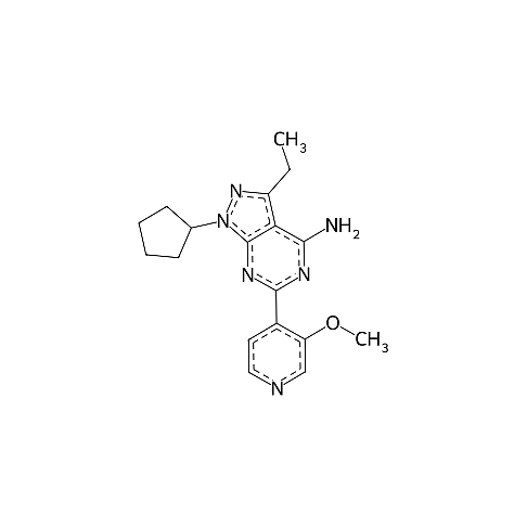 CCc1nn(C2CCCC2)c2nc(-c3ccncc3OC)nc(N)c12